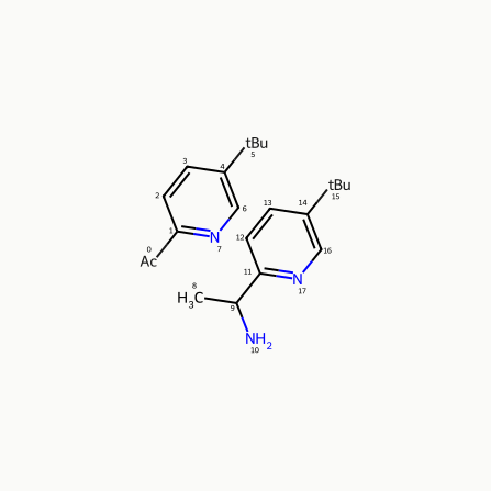 CC(=O)c1ccc(C(C)(C)C)cn1.CC(N)c1ccc(C(C)(C)C)cn1